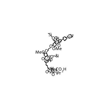 COc1cc2c(cc1OCCCOc1cc3c(cc1OC)C(=O)N1C=C(c4ccc(N5CCN(C)CC5)cc4)C[C@H]1C(=O)N3COCC[Si](C)(C)C)N(COCC[Si](C)(C)C)C(=O)[C@@H]1CC(/C=C/CNC(=O)[C@H](C)NC(=O)[C@@H](NC(=O)O)C(C)C)=CN1C2=O